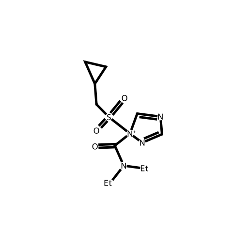 CCN(CC)C(=O)[N+]1(S(=O)(=O)CC2CC2)C=NC=N1